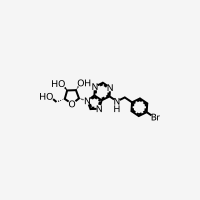 OC[C@H]1O[C@@H](n2cnc3c(NCc4ccc(Br)cc4)ncnc32)[C@@H](O)[C@@H]1O